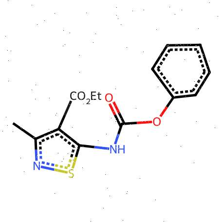 CCOC(=O)c1c(C)nsc1NC(=O)Oc1ccccc1